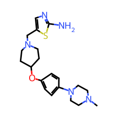 CN1CCN(c2ccc(OC3CCN(Cc4cnc(N)s4)CC3)cc2)CC1